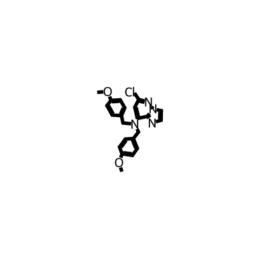 COc1ccc(CN(Cc2ccc(OC)cc2)c2cc(Cl)nn3ccnc23)cc1